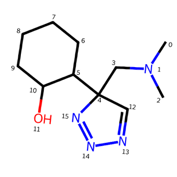 CN(C)CC1(C2CCCCC2O)C=NN=N1